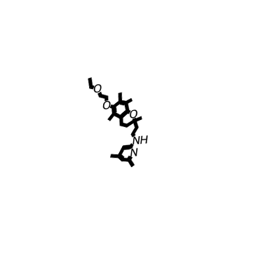 CCOCCOc1c(C)c(C)c2c(c1C)CCC(C)(CCNc1cc(C)cc(C)n1)O2